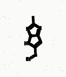 CCSc1cc2nc(C)nn2[nH]1